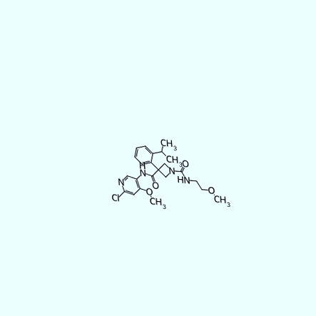 COCCNC(=O)N1CC(C(=O)Nc2cnc(Cl)cc2OC)(c2ccccc2C(C)C)C1